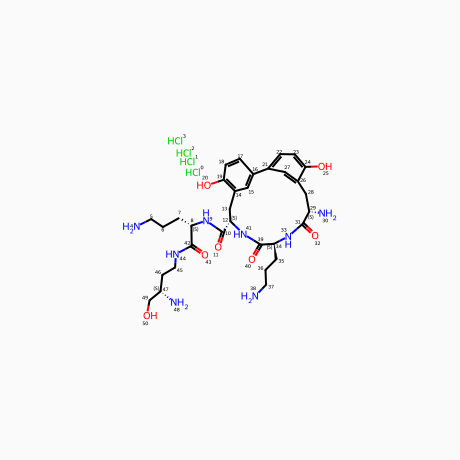 Cl.Cl.Cl.Cl.NCCC[C@H](NC(=O)[C@@H]1Cc2cc(ccc2O)-c2ccc(O)c(c2)C[C@H](N)C(=O)N[C@@H](CCCN)C(=O)N1)C(=O)NCC[C@H](N)CO